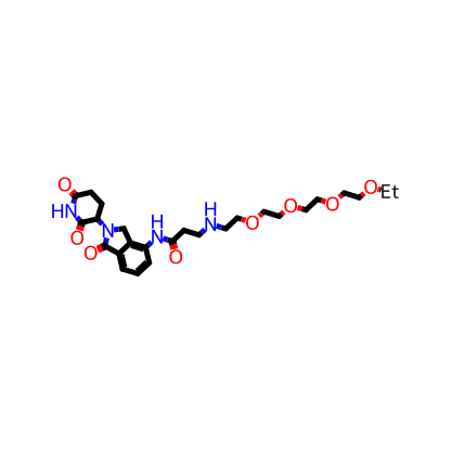 CCOCCOCCOCCOCCNCCC(=O)Nc1cccc2c1CN(C1CCC(=O)NC1=O)C2=O